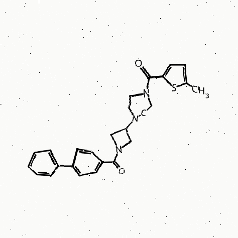 Cc1ccc(C(=O)N2CCN(C3CN(C(=O)c4ccc(-c5ccccc5)cc4)C3)CC2)s1